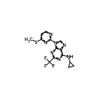 CSc1ccnc(-n2cnc3c(NC4CC4)nc(C(F)(F)F)nc32)n1